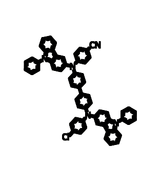 N#Cc1ccc(N(c2ccc(-c3ccc(N(c4ccc(Cl)cc4)c4ccc5c(c4)c4ccccc4n5-c4ccccc4)cc3)cc2)c2ccc3c(c2)c2ccccc2n3-c2ccccc2)cc1